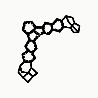 c1cc2c3cc4cc5c(cc4cc3n3c4cc6cc7c(cc6cc4c(c1)c23)C1CC2CC3CC7C23C1)C1CC2CC5CC1C2